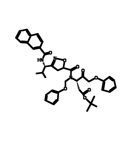 CC(C)[C@H](NC(=O)c1ccc2ccccc2c1)C1=NOC(C(=O)N(COc2ccccc2)[C@@H](CC(=O)OC(C)(C)C)C(=O)COc2ccccc2)C1